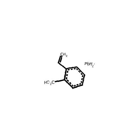 C=Cc1ccccc1C(=O)O.[PbH2]